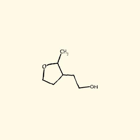 CC1OCCC1CCO